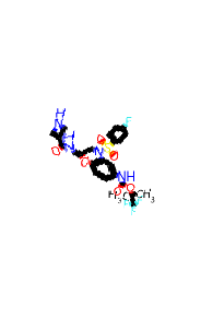 CC(C)(OC(=O)Nc1ccc2c(c1)N(S(=O)(=O)c1ccc(F)cc1)CC(CNC(=O)C1CNC1)O2)C(F)(F)F